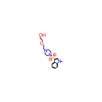 Cn1cc(S(=O)(=O)N2CCN(CCOCCO)CC2)c2ccccc21